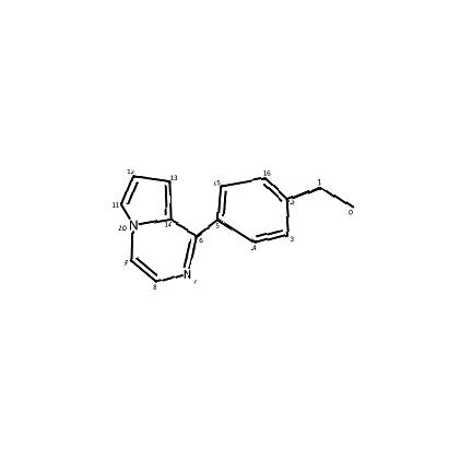 CCc1ccc(-c2nccn3cccc23)cc1